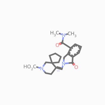 CN(C)C(=O)c1cccc2c1CN(/C=C1/CCN(C(=O)O)CC13CCCC3)C2=O